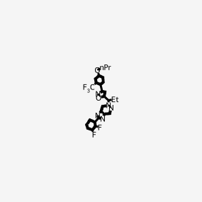 CCCOc1ccc(-c2cc(C(CC)n3cc4nc(-c5cccc(F)c5F)nc-4cn3)on2)c(C(F)(F)F)c1